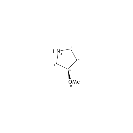 [CH2-][OH+][C@@H]1CCNC1